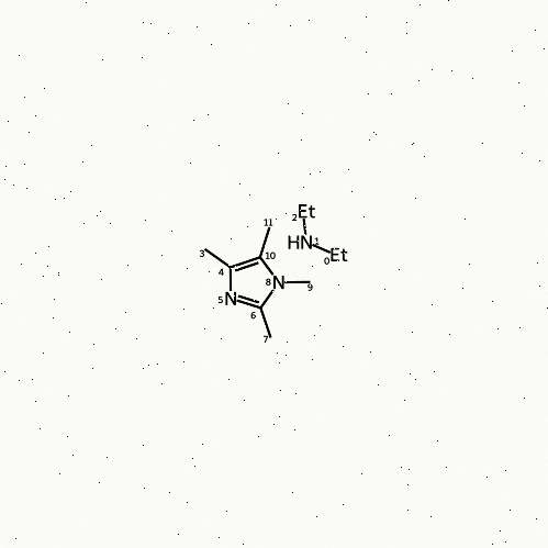 CCNCC.Cc1nc(C)n(C)c1C